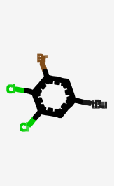 CC(C)(C)c1cc(Cl)c(Cl)c(Br)c1